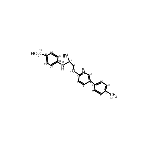 CC(C)C(COc1ccc(-c2ccc(C(F)(F)F)cc2)cn1)Nc1ccc(C(=O)O)cc1